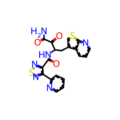 NC(=O)C(=O)C(Cc1csc2ncccc12)NC(=O)c1nsnc1-c1ccccn1